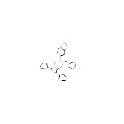 CCCC[C@H](c1c(-c2ccccc2)nc(-c2ccccc2)n1CCCC)N(Cc1ccc(S(N)(=O)=O)cc1)Cc1ccc2c(c1)OCO2